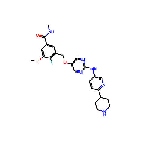 CNC(=O)c1cc(COc2cnc(Nc3ccc(C4CCNCC4)nc3)nc2)c(F)c(OC)c1